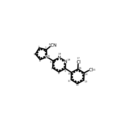 N#Cc1cccn1-c1ccc(-c2cccc(Cl)c2Cl)nn1